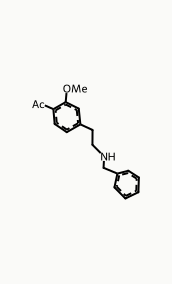 COc1cc(CCNCc2ccccc2)ccc1C(C)=O